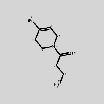 CC(C)C1=CCN(C(=O)CCC(F)(F)F)CC1